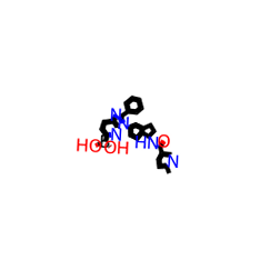 Cc1ccc(C(=O)N[C@H]2CCc3cc(-n4c(-c5ccccc5)nc5ccc(B(O)O)nc54)ccc32)cn1